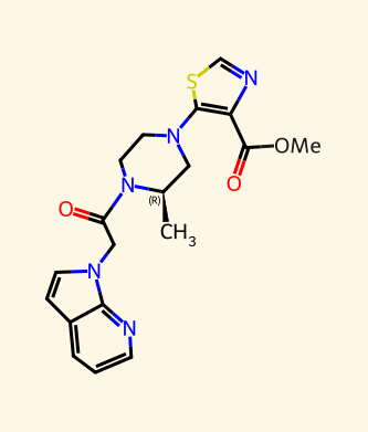 COC(=O)c1ncsc1N1CCN(C(=O)Cn2ccc3cccnc32)[C@H](C)C1